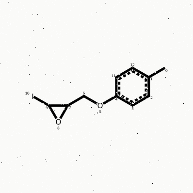 Cc1ccc(OCC2OC2I)cc1